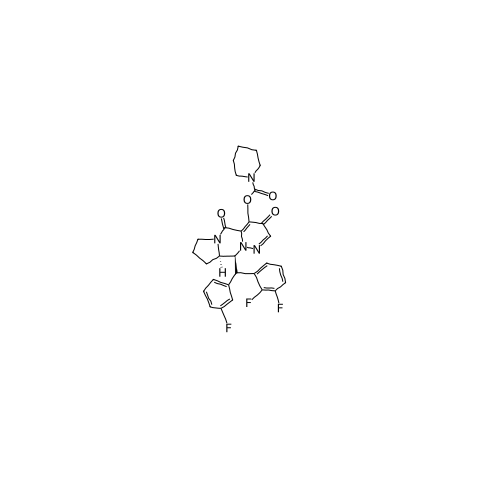 O=C(Oc1c2n(ncc1=O)[C@@H](C(c1cccc(F)c1)c1cccc(F)c1F)[C@H]1CCCN1C2=O)N1CCCCC1